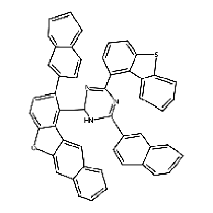 c1ccc2cc(C3=NC(c4cccc5sc6ccccc6c45)=NC(c4c(-c5ccc6ccccc6c5)ccc5oc6cc7ccccc7cc6c45)N3)ccc2c1